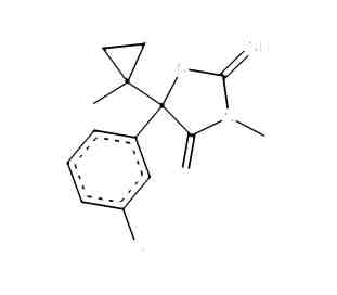 CN1C(=N)NC(c2cccc(Br)c2)(C2(C)CC2)C1=O